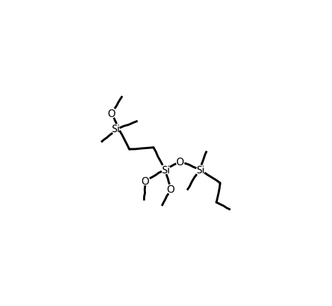 CCC[Si](C)(C)O[Si](CC[Si](C)(C)OC)(OC)OC